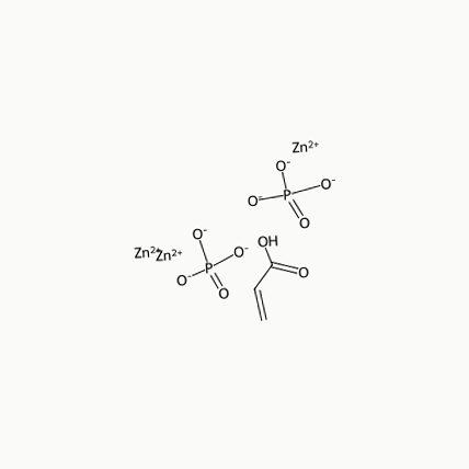 C=CC(=O)O.O=P([O-])([O-])[O-].O=P([O-])([O-])[O-].[Zn+2].[Zn+2].[Zn+2]